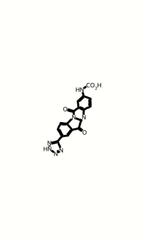 O=C(O)Nc1ccc2nc3n(c(=O)c2c1)-c1ccc(-c2nn[nH]n2)cc1C3=O